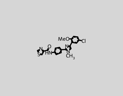 COc1ccc(Cl)cc1-c1cn(C)c(-c2ccc(NC(=O)c3cscn3)cc2)n1